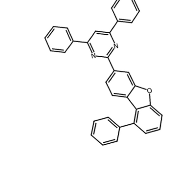 c1ccc(-c2cc(-c3ccccc3)nc(-c3ccc4c(c3)oc3cccc(-c5ccccc5)c34)n2)cc1